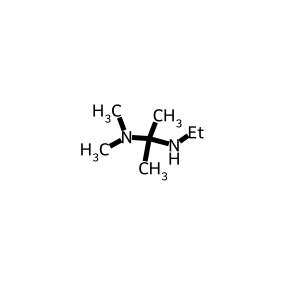 CCNC(C)(C)N(C)C